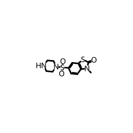 Cn1c(=O)sc2cc(S(=O)(=O)N3CCNCC3)ccc21